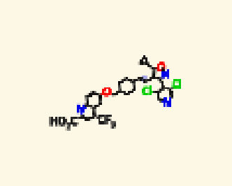 O=C(O)c1cc(C(F)(F)F)c2cc(OCC3CCC(/C=C/c4c(-c5c(Cl)cncc5Cl)noc4C4CC4)CC3)ccc2n1